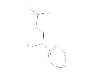 CSC(CCC(C)O)c1ccccn1